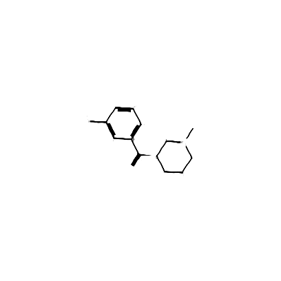 CN1CCC[C@@H](C(=O)c2cccc(Cl)c2)C1